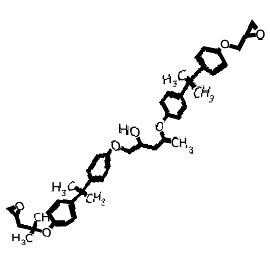 CC(CC(O)COc1ccc(C(C)(C)c2ccc(OC(C)(C)CC3CO3)cc2)cc1)Oc1ccc(C(C)(C)c2ccc(OCC3CO3)cc2)cc1